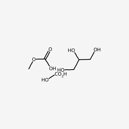 COC(=O)O.O=C(O)O.OCC(O)CO